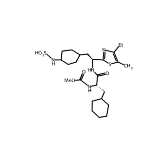 CCc1nc([C@H](CC2CCC(NS(=O)(=O)O)CC2)NC(=O)[C@H](CC2CCCCC2)NC(=O)OC)sc1C